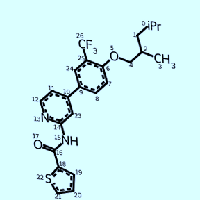 CC(C)CC(C)COc1ccc(-c2ccnc(NC(=O)c3cccs3)c2)cc1C(F)(F)F